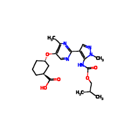 Cc1nc(-c2cnn(C)c2NC(=O)OCC(C)C)ncc1O[C@H]1CCC[C@H](C(=O)O)C1